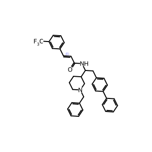 O=C(/C=C/c1cccc(C(F)(F)F)c1)NC(Cc1ccc(-c2ccccc2)cc1)C1CCCN(Cc2ccccc2)C1